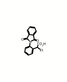 CCC(C(=O)O)c1ccccc1N1C(=O)c2ccccc2C1=O